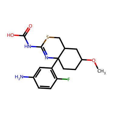 COC1CCC2(c3cc(N)ccc3F)N=C(NC(=O)O)SCC2C1